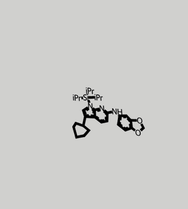 CC(C)[Si](C(C)C)(C(C)C)n1cc(C2CCCCC2)c2ccc(Nc3ccc4c(c3)OCO4)nc21